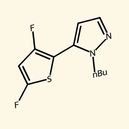 CCCCn1nccc1-c1sc(F)cc1F